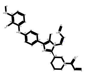 C=CC(=O)N1CCC[C@@H](c2nc(-c3ccc(Oc4cccc(OC)c4F)cc3)c(C)n2/C=C\N=C)C1